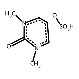 Cn1ccc[n+](C)c1=O.O=S(=O)([O-])O